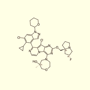 C[C@@]1(O)COCCN(c2nc(OC[C@@]34CCCN3C[C@H](F)C4)nc3c(Cl)c4c(-c5c(C6CC6)c(Cl)cc6c5cnn6C5CCCCO5)nccn4c23)C1